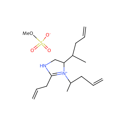 C=CCC1=[N+](C(C)CC=C)C(C(C)CC=C)CN1.COS(=O)(=O)[O-]